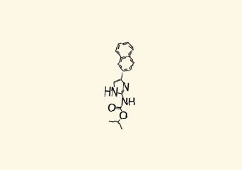 CC(C)OC(=O)NC1=NC(c2ccc3ccccc3c2)CN1